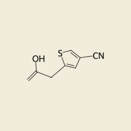 C=C(O)Cc1cc(C#N)cs1